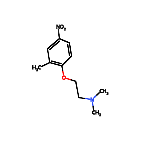 Cc1cc([N+](=O)[O-])ccc1OCCN(C)C